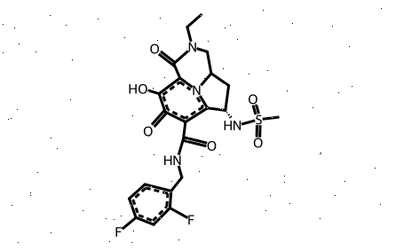 CCN1CC2C[C@H](NS(C)(=O)=O)c3c(C(=O)NCc4ccc(F)cc4F)c(=O)c(O)c(n32)C1=O